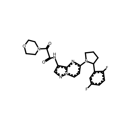 O=C(Nc1cnn2ccc(N3CCCC3c3cc(F)ccc3F)nc12)C(=O)N1CCOCC1